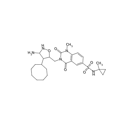 Cn1c(=O)n(CC2ONC(N)C2C2CCCCCCC2)c(=O)c2cc(S(=O)(=O)NC3(C)CC3)ccc21